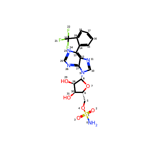 NS(=O)(=O)OC[C@H]1O[C@@H](n2cnc3c(-c4ccccc4C(F)(F)F)ncnc32)[C@H](O)[C@@H]1O